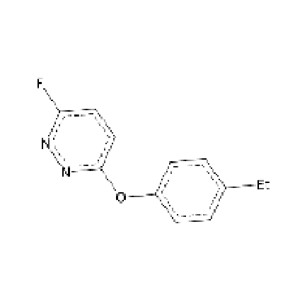 CCc1ccc(Oc2ccc(F)nn2)cc1